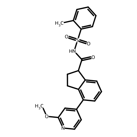 COc1cc(-c2cccc3c2CCC3C(=O)NS(=O)(=O)c2ccccc2C)ccn1